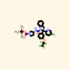 CC(C)(C)OC(=O)N1CC[C@@H](NC(=O)N[C@@](Cc2ccccc2)(c2cccc(OC(F)(F)C(F)F)c2)c2ccc(Cl)cn2)C1